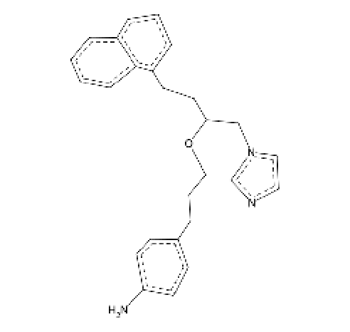 Nc1ccc(CCCOC(CCc2cccc3ccccc23)Cn2ccnc2)cc1